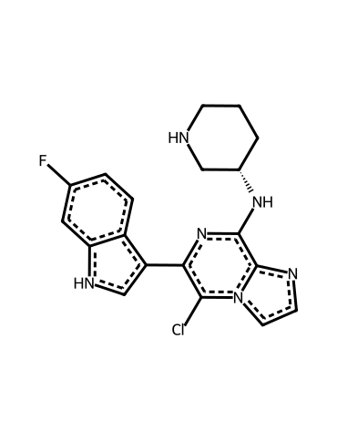 Fc1ccc2c(-c3nc(N[C@H]4CCCNC4)c4nccn4c3Cl)c[nH]c2c1